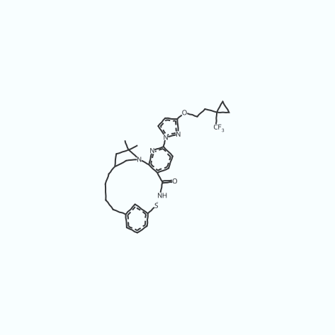 CC1(C)CC2CCCCc3cccc(c3)SNC(=O)c3ccc(-n4ccc(OCCC5(C(F)(F)F)CC5)n4)nc3N1C2